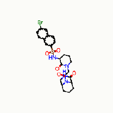 O=C1NCC2CCCC1N2C(=O)CN1CCC[C@H](NS(=O)(=O)c2ccc3cc(Br)ccc3c2)C1=O